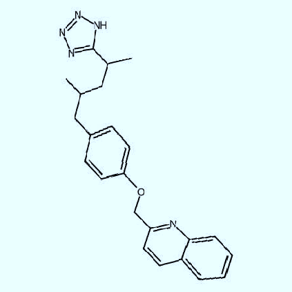 CC(Cc1ccc(OCc2ccc3ccccc3n2)cc1)CC(C)c1nnn[nH]1